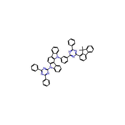 CC1(C)c2ccccc2-c2cccc(-c3nc(-c4ccccc4)nc(-c4cccc(-n5c6ccccc6c6ccc7c(c8ccccc8n7-c7nc(-c8ccccc8)nc(-c8ccccc8)n7)c65)c4)n3)c21